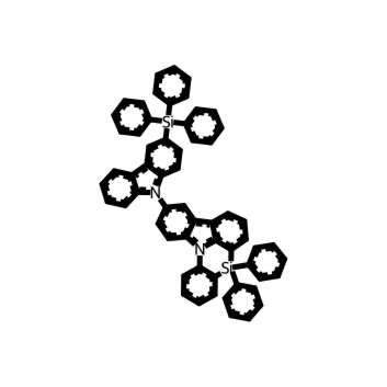 c1ccc([Si](c2ccccc2)(c2ccccc2)c2ccc3c(c2)c2ccccc2n3-c2ccc3c(c2)c2cccc4c2n3-c2ccccc2[Si]4(c2ccccc2)c2ccccc2)cc1